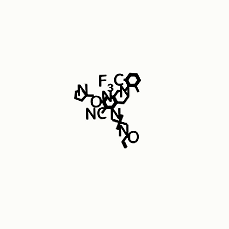 C=CC(=O)N1CC2(C1)CN(c1c(C#N)c(OCC3CCCN3C)nc3c1CCN(c1c(C)cccc1C(F)(F)F)C3)C2